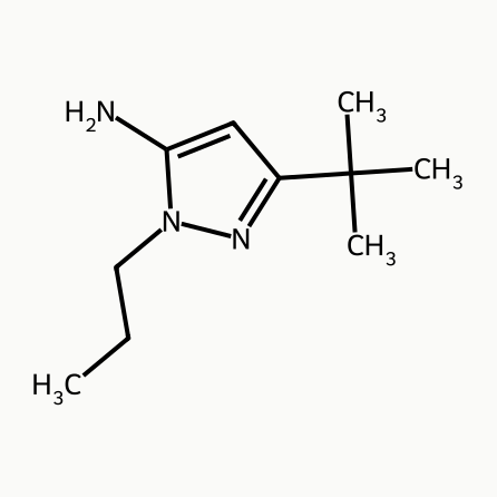 CCCn1nc(C(C)(C)C)cc1N